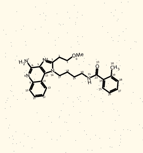 COCCc1nc2c(N)nc3ccccc3c2n1CCCCNC(=O)c1ccccc1C